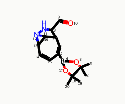 CC1(C)OB(C2=CC3C(C=O)NN4C(C=C2)C34)OC1(C)C